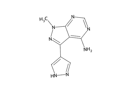 Cn1nc(-c2cn[nH]c2)c2c(N)ncnc21